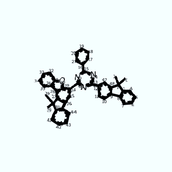 CC1(C)c2ccccc2-c2ccc(-c3nc(-c4ccccc4)nc(-c4cc5c(c6c4oc4ccccc46)C(C)(C)c4ccccc4-5)n3)cc21